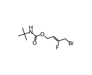 CC(C)(C)NC(=O)OC/C=C(\F)CBr